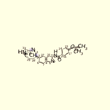 C/C1=N\C=C(\c2ccc3cnc(NC(=O)c4ccc(OC(C)C)cc4)cc3c2)CCCNC1